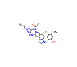 C=CC(=O)Nc1cn(CCC#N)nc1Nc1cc2c(cn1)cc(-c1c(Cl)c(O)cc(OC)c1Cl)c1ncnn12